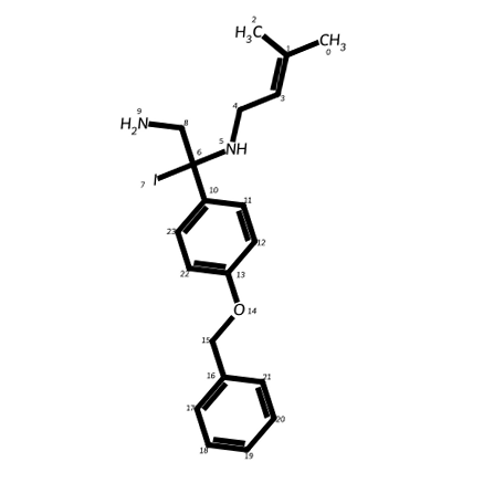 CC(C)=CCNC(I)(CN)c1ccc(OCc2ccccc2)cc1